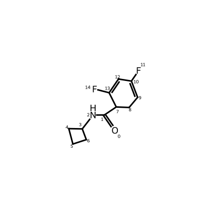 O=C(NC1CCC1)C1CC=C(F)C=C1F